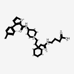 Cc1ccc(-c2ccoc2C(=O)NC2CCN(CCC3(CC(=O)NCCCC(=O)O)CCCCC3)CC2)cc1